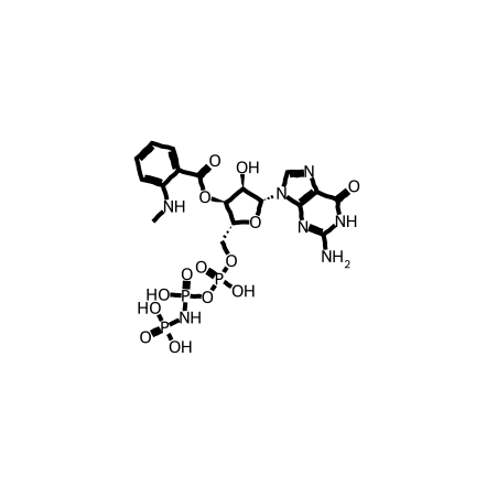 CNc1ccccc1C(=O)O[C@H]1[C@@H](O)[C@H](n2cnc3c(=O)[nH]c(N)nc32)O[C@@H]1COP(=O)(O)OP(=O)(O)NP(=O)(O)O